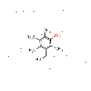 CCc1c(C)c(C)c(C)c(O)c1C